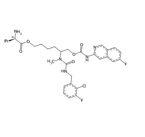 CC(C)[C@@H](N)C(=O)OCCCCC(COC(=O)Nc1cc2cc(F)ccc2cn1)N(C)C(=O)NCc1cccc(F)c1Cl